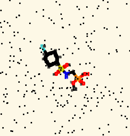 CCOP(=O)(O)CNS(=O)(=O)c1ccc(F)cc1